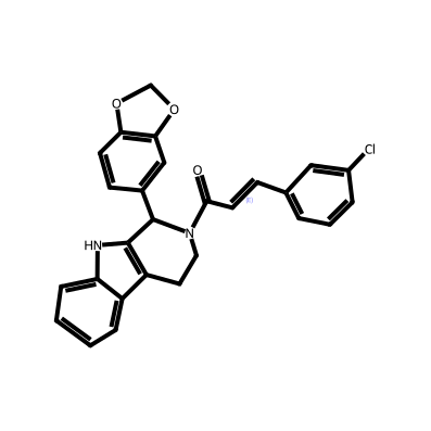 O=C(/C=C/c1cccc(Cl)c1)N1CCc2c([nH]c3ccccc23)C1c1ccc2c(c1)OCO2